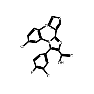 Cc1ccc(Cl)cc1-n1c(-c2ccsc2)nc(C(=O)O)c1-c1ccc(F)c(Cl)c1